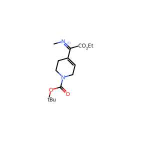 CCOC(=O)/C(=N/C)C1=CCN(C(=O)OC(C)(C)C)CC1